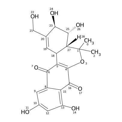 CC1(C)OC2=C(C(=O)c3cc(O)cc(O)c3C2=O)C2C=C(CO)[C@@H](O)[C@H](O)[C@@H]21